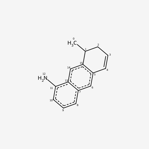 CC1CC=Cc2cc3cccc(N)c3cc21